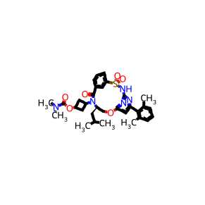 Cc1cccc(C)c1-c1cc2nc(n1)NS(=O)(=O)c1cccc(c1)C(=O)N(C1CC(OC(=O)N(C)C)C1)[C@H](CC(C)C)CO2